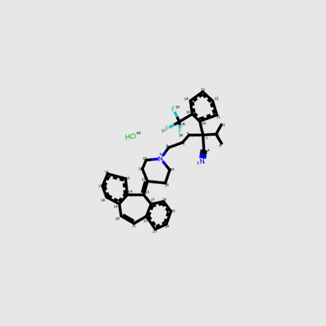 CC(C)C(C#N)(CCCN1CCC(=C2c3ccccc3C=Cc3ccccc32)CC1)c1ccccc1C(F)(F)F.Cl